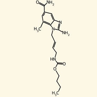 CCCCOC(=O)NCC=CCn1c(N)nc2cc(C(N)=O)cc(C)c21